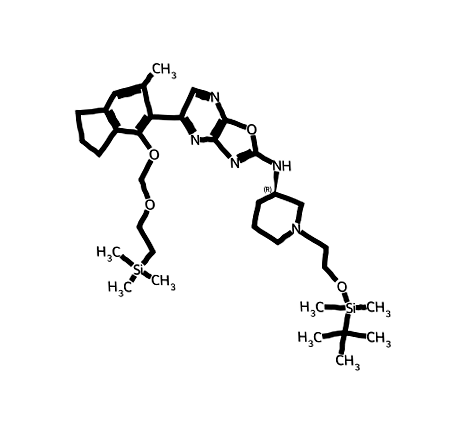 Cc1cc2c(c(OCOCC[Si](C)(C)C)c1-c1cnc3oc(N[C@@H]4CCCN(CCO[Si](C)(C)C(C)(C)C)C4)nc3n1)CCC2